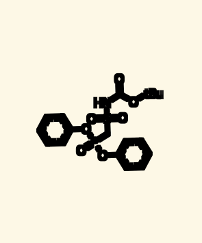 CC(C)(C)OC(=O)NS(=O)(=O)CP(=O)(Oc1ccccc1)Oc1ccccc1